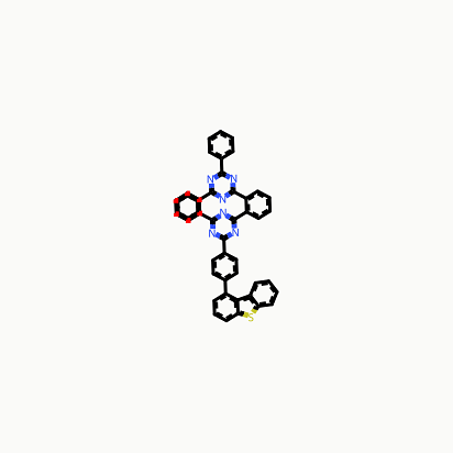 c1ccc(-c2nc(-c3ccccc3)nc(-c3ccccc3-c3nc(-c4ccccc4)nc(-c4ccc(-c5cccc6sc7ccccc7c56)cc4)n3)n2)cc1